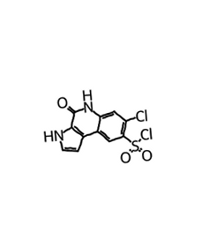 O=c1[nH]c2cc(Cl)c(S(=O)(=O)Cl)cc2c2cc[nH]c12